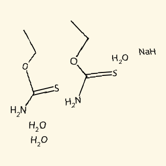 CCOC(N)=S.CCOC(N)=S.O.O.O.[NaH]